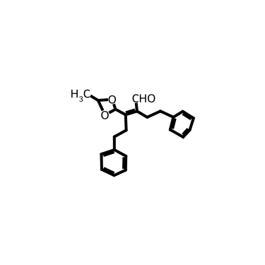 CC1OC(/C(CCc2ccccc2)=C(\C=O)CCc2ccccc2)O1